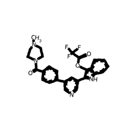 CN1CCN(C(=O)c2ccc(-c3cncc(-c4[nH]c5ccccc5c4OC(=O)C(F)(F)F)c3)cc2)CC1